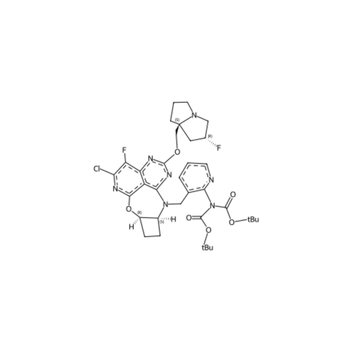 CC(C)(C)OC(=O)N(C(=O)OC(C)(C)C)c1ncccc1CN1c2nc(OC[C@@]34CCCN3C[C@H](F)C4)nc3c(F)c(Cl)nc(c23)O[C@@H]2CC[C@@H]21